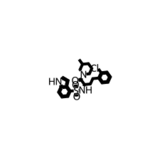 CC1CCCN(C(=O)C(CCc2ccccc2Cl)NS(=O)(=O)c2cccc3[nH]ccc23)C1